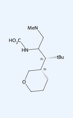 CNCC(NC(=O)O)[C@@H]([C@@H]1CCCOC1)C(C)(C)C